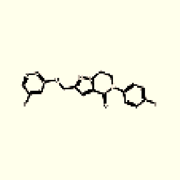 O=C1c2cc(COc3cncc(F)c3)nn2CCN1c1ccc(F)cc1